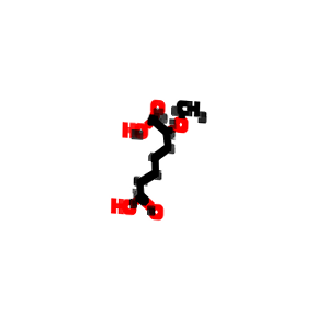 COC(CCC[CH]C(=O)O)C(=O)O